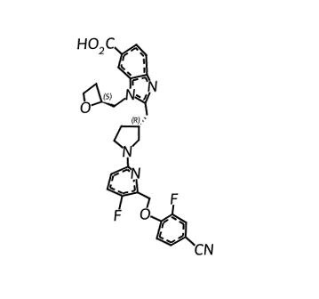 N#Cc1ccc(OCc2nc(N3CC[C@H](Cc4nc5ccc(C(=O)O)cc5n4C[C@@H]4CCO4)C3)ccc2F)c(F)c1